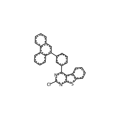 Clc1nc(-c2cccc(-c3cc4ccccc4c4ccccc34)c2)c2c(n1)sc1ccccc12